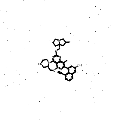 C#Cc1cccc2cc(O)cc(-c3nc4c5c(nc(OCC67CCCN6CC(F)C7)nc5c3C)N3CCNCC3CO4)c12